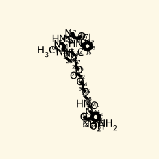 Cc1nc(Nc2ncc(C(=O)Nc3c(C)cccc3Cl)s2)cc(N2CCN(CCOC(=O)COCCOCCNC(=O)Oc3ccc(N)c(O)c3C(N)=O)CC2)n1